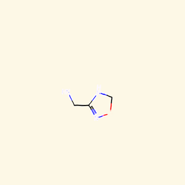 [NH]CC1=NOCN1